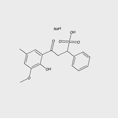 COc1cc(C)cc(C(=O)CC(c2ccccc2)S(=O)(=O)O)c1O.[NaH]